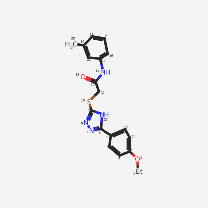 CCOc1ccc(-c2nnc(SCC(=O)Nc3cccc(C)c3)[nH]2)cc1